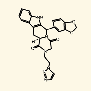 O=C1[C@H]2Cc3c([nH]c4ccccc34)[C@@H](c3ccc4c(c3)OCO4)N2C(=O)CN1CCn1ccnn1